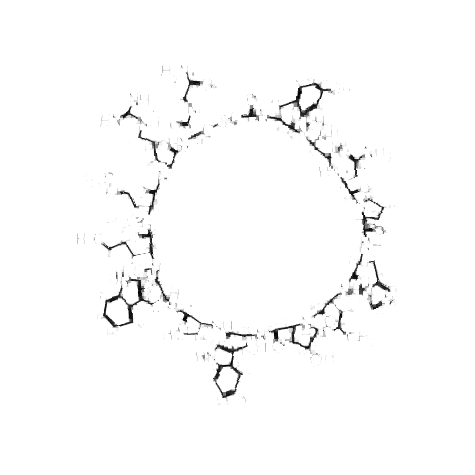 CCCC[C@H]1C(=O)N(C)[C@@H](CCOC)C(=O)N[C@@H](CCCNC(=N)N)C(=O)N[C@H](C(=O)NCC(N)=O)CSCC(=O)N[C@@H](Cc2ccc(O)cc2)C(=O)N(C)[C@@H](C)C(=O)N[C@@H](CC(N)=O)C(=O)N2CCC[C@H]2C(=O)N[C@@H](Cc2cnc[nH]2)C(=O)N[C@@H](CC(C)C)C(=O)N2C[C@H](O)C[C@H]2C(=O)N[C@@H](Cc2c[nH]c3ccccc23)C(=O)N[C@@H](CO)C(=O)N[C@@H](Cc2c[nH]c3ccccc23)C(=O)N1C